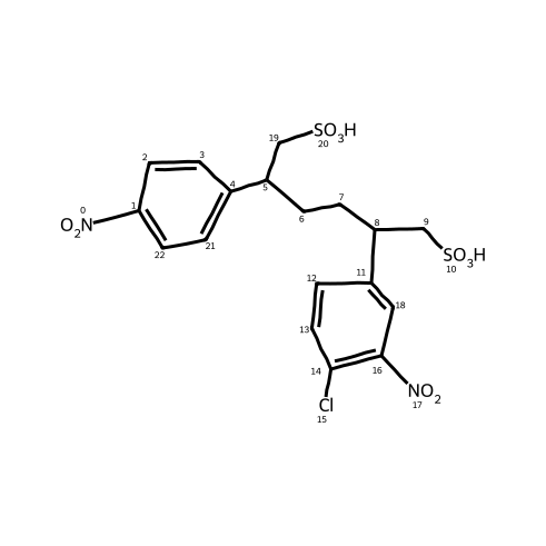 O=[N+]([O-])c1ccc(C(CCC(CS(=O)(=O)O)c2ccc(Cl)c([N+](=O)[O-])c2)CS(=O)(=O)O)cc1